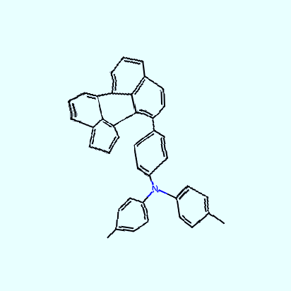 Cc1ccc(N(c2ccc(C)cc2)c2ccc(-c3ccc4cccc5c6cccc7cccc(c3c45)c76)cc2)cc1